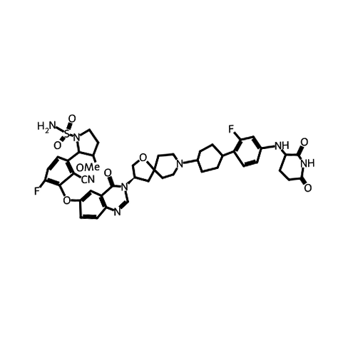 COC1CCN(S(N)(=O)=O)C1c1ccc(F)c(Oc2ccc3ncn([C@H]4COC5(CCN(C6CCC(c7ccc(NC8CCC(=O)NC8=O)cc7F)CC6)CC5)C4)c(=O)c3c2)c1C#N